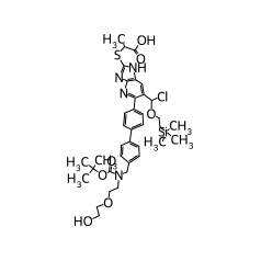 CC(Sc1nc2nc(-c3ccc(-c4ccc(CN(CCOCCO)C(=O)OC(C)(C)C)cc4)cc3)c(C(Cl)OCC[Si](C)(C)C)cc2[nH]1)C(=O)O